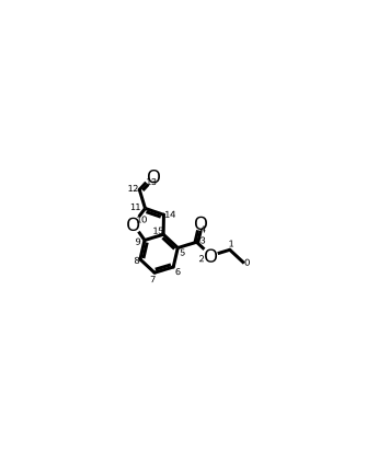 CCOC(=O)c1cccc2oc(C=O)cc12